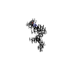 Cc1ccc(N/C(=C\C(=N)C(C)(C)C)NC(=O)N[C@H]2CC[C@@H](Oc3ccc(=N)n(C(=N)CC4CCN(CC(F)F)CC4)c3)c3ccccc32)cc1